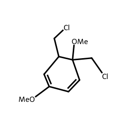 COC1=CC(CCl)C(CCl)(OC)C=C1